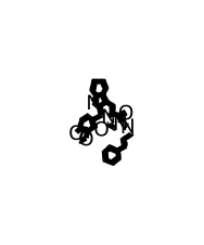 O=C1c2cc3c4ccccc4nc-3c(-c3ccc4c(c3)OCO4)n2C(=O)CN1/N=C\C=C\c1ccccc1